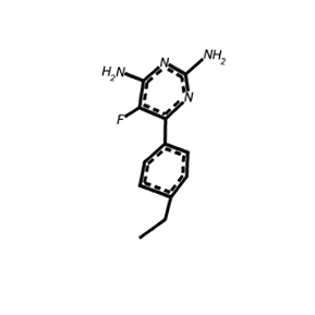 CCc1ccc(-c2nc(N)nc(N)c2F)cc1